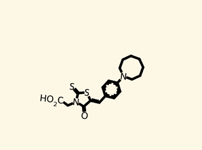 O=C(O)CN1C(=O)C(=Cc2ccc(N3CCCCCCC3)cc2)SC1=S